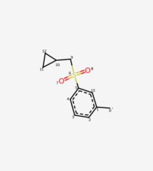 [CH2]c1cccc(S(=O)(=O)CC2CC2)c1